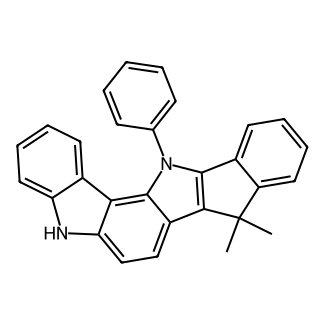 CC1(C)c2ccccc2-c2c1c1ccc3[nH]c4ccccc4c3c1n2-c1ccccc1